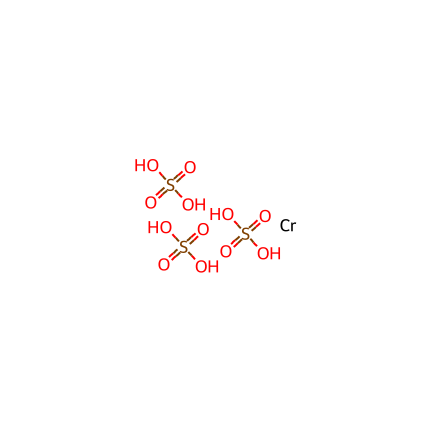 O=S(=O)(O)O.O=S(=O)(O)O.O=S(=O)(O)O.[Cr]